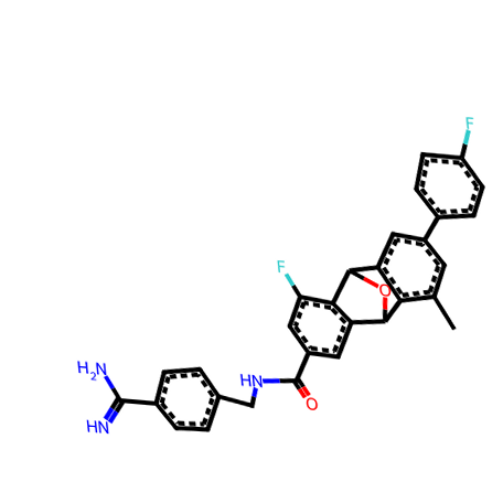 Cc1cc(-c2ccc(F)cc2)cc2c1C1OC2c2c(F)cc(C(=O)NCc3ccc(C(=N)N)cc3)cc21